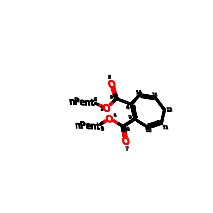 CCCCCOC(=O)C1=C(C(=O)OCCCCC)C=CCC=C1